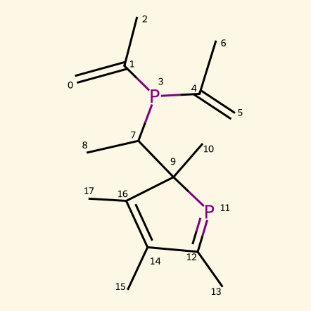 C=C(C)P(C(=C)C)C(C)C1(C)P=C(C)C(C)=C1C